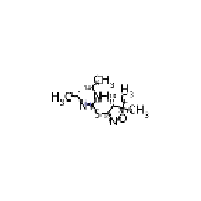 CC/N=C(/SC1=NOC(C)(C)C1)N(I)CC